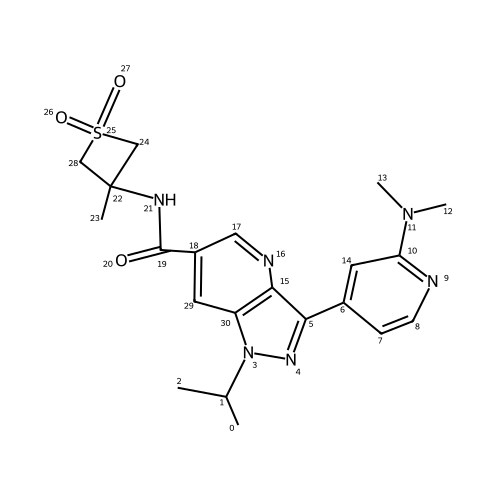 CC(C)n1nc(-c2ccnc(N(C)C)c2)c2ncc(C(=O)NC3(C)CS(=O)(=O)C3)cc21